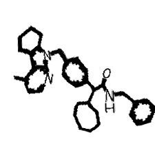 Cc1ccnc2c1c1c(n2Cc2ccc(C(C(=O)NCc3ccccc3)C3CCCCCC3)cc2)CCCC1